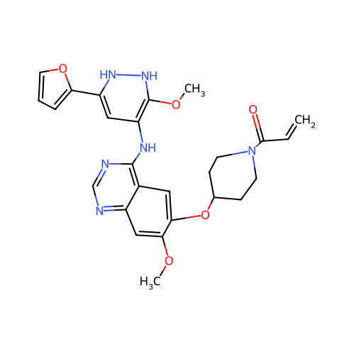 C=CC(=O)N1CCC(Oc2cc3c(NC4=C(OC)NNC(c5ccco5)=C4)ncnc3cc2OC)CC1